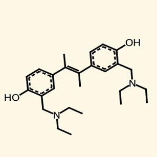 CCN(CC)Cc1cc(/C(C)=C(\C)c2ccc(O)c(CN(CC)CC)c2)ccc1O